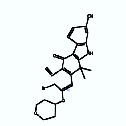 C=CC1=C(/C=C(\CBr)OC2CCOCC2)C(C)(C)c2[nH]c3cc(C#N)ccc3c2C1=O